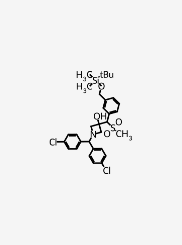 CC(C)(C)[Si](C)(C)OCc1cccc(C(C2(O)CN(C(c3ccc(Cl)cc3)c3ccc(Cl)cc3)C2)S(C)(=O)=O)c1